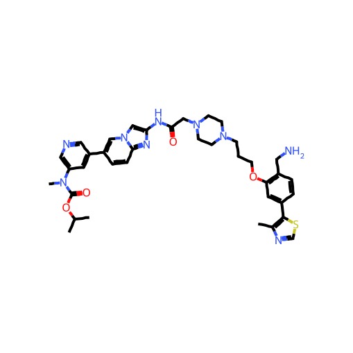 Cc1ncsc1-c1ccc(CN)c(OCCCN2CCN(CC(=O)Nc3cn4cc(-c5cncc(N(C)C(=O)OC(C)C)c5)ccc4n3)CC2)c1